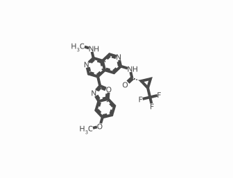 CNc1ncc(-c2nc3cc(OC)ccc3o2)c2cc(NC(=O)[C@@H]3CC3C(F)(F)F)ncc12